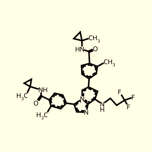 Cc1cc(-c2cc(NCCC(F)(F)F)c3ncc(-c4ccc(C(=O)NC5(C)CC5)c(C)c4)n3c2)ccc1C(=O)NC1(C)CC1